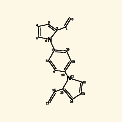 C=Cc1cccn1-c1ccc(-n2cccc2C=C)cc1